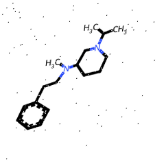 CC(C)N1CCCC(N(C)CCc2ccccc2)C1